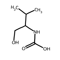 CC(C)C(CO)NC(=O)O